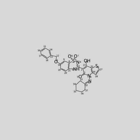 O=c1c(C2=NS(=O)(=O)c3cc(OCc4ccccc4)ccc3N2)c(O)c2sccc2n1N=C1CCCCC1